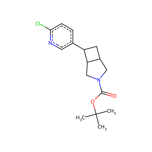 CC(C)(C)OC(=O)N1CC2CC(c3ccc(Cl)nc3)C2C1